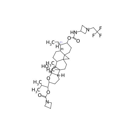 C/C=C1/C(OC(=O)NC2CN(CC(F)(F)F)C2)CCC23CC24CCC2(C)[C@H]5CCC(C(OC(=O)N6CCC6)C(C)C)OC5[C@H](O)[C@@]2(C)C4CC[C@@H]13